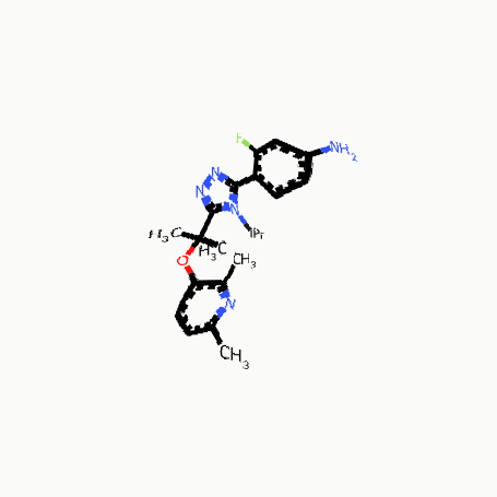 Cc1ccc(OC(C)(C)c2nnc(-c3ccc(N)cc3F)n2C(C)C)c(C)n1